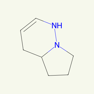 C1=CNN2CCCC2C1